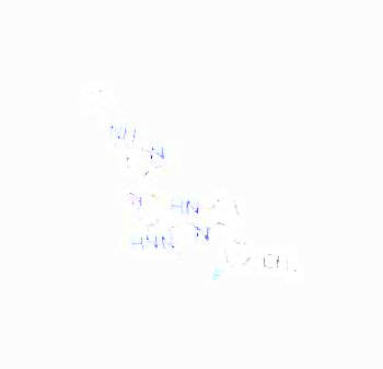 Cc1cc(F)cc(-c2cccc3[nH]c(-c4n[nH]c5cnc(-c6cncc(CNCC7CCCC7)c6)cc45)nc23)c1